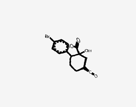 O=C=C1CCC(c2ccc(Br)cc2)C(O)(C(=O)O)C1